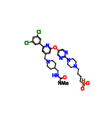 CNC(=O)NCC1CCN(Cc2cc(Oc3cnc(N4CCN(CCCC[SH](=O)=O)CC4)nc3)nc(-c3cc(Cl)cc(Cl)c3)c2)CC1